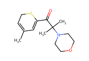 CC1=CCSC(C(=O)C(C)(C)N2CCOCC2)=C1